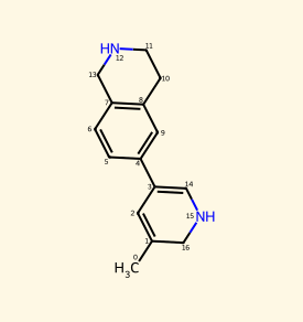 CC1=CC(c2ccc3c(c2)CCNC3)=CNC1